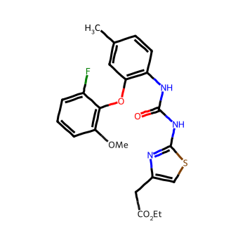 CCOC(=O)Cc1csc(NC(=O)Nc2ccc(C)cc2Oc2c(F)cccc2OC)n1